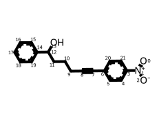 O=[N+]([O-])c1ccc(C#CCCCC(O)c2ccccc2)cc1